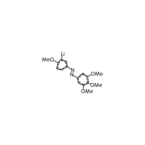 [Li][c]1cc(/N=N/c2cc(OC)c(OC)c(OC)c2)ccc1OC